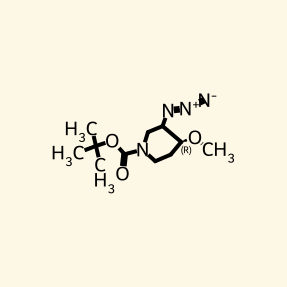 CO[C@@H]1CCN(C(=O)OC(C)(C)C)CC1N=[N+]=[N-]